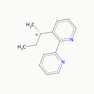 CC[C@H](C)c1cccnc1-c1ccccn1